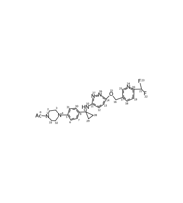 CC(=O)N1CCN(c2ccc(C3(Nc4ccc(OCc5ccc(C(F)F)nc5)nn4)CC3)cc2)CC1